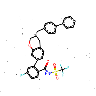 O=C(NS(=O)(=O)C(F)(F)F)c1ccc(F)cc1-c1ccc2c(c1)OC[C@H](Cc1ccc(-c3ccccc3)cc1)C2